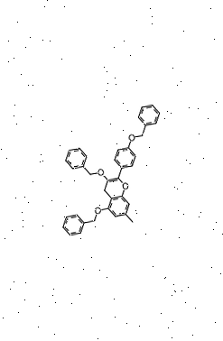 Cc1cc(OCc2ccccc2)c2c(c1)OC(c1ccc(OCc3ccccc3)cc1)=C(OCc1ccccc1)C2